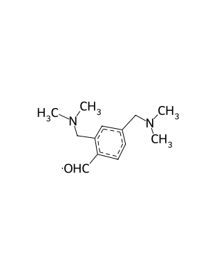 CN(C)Cc1ccc([C]=O)c(CN(C)C)c1